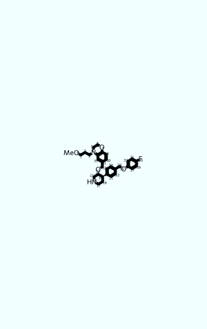 COCCCN1CCOc2ccc(CO[C@H]3CNCC[C@@H]3c3ccc(COc4ccc(F)cc4)cc3)cc21